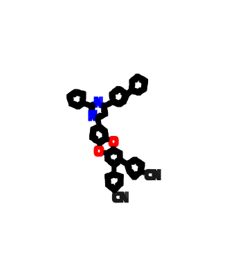 N#Cc1ccc(-c2cc3c(cc2-c2ccc(C#N)cc2)Oc2cc(-c4cc(-c5ccc(-c6ccccc6)cc5)nc(-c5ccccc5)n4)ccc2O3)cc1